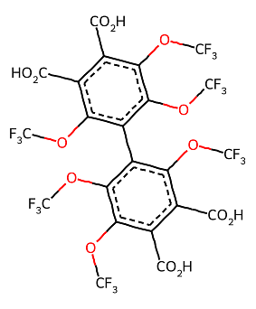 O=C(O)c1c(OC(F)(F)F)c(OC(F)(F)F)c(-c2c(OC(F)(F)F)c(OC(F)(F)F)c(C(=O)O)c(C(=O)O)c2OC(F)(F)F)c(OC(F)(F)F)c1C(=O)O